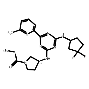 CC(C)(C)OC(=O)N1CC[C@H](Nc2nc(NC3CCC(F)(F)C3)nc(-c3cccc(C(F)(F)F)n3)n2)C1